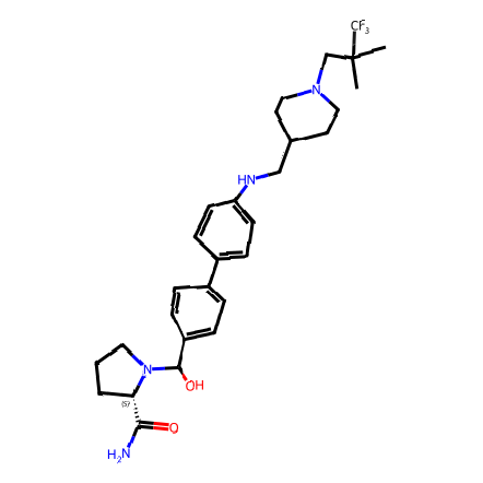 CC(C)(CN1CCC(CNc2ccc(-c3ccc(C(O)N4CCC[C@H]4C(N)=O)cc3)cc2)CC1)C(F)(F)F